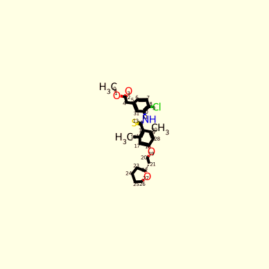 COC(=O)Cc1ccc(Cl)c(NC(=S)c2c(C)cc(OCC[C@H]3CCCCO3)cc2C)c1